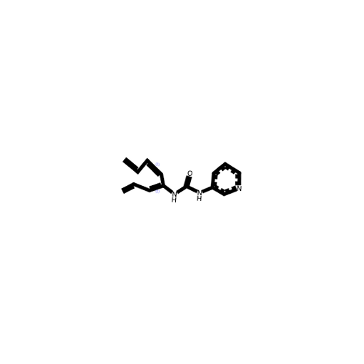 C=C/C=C\C(=C/C=C)NC(=O)Nc1cccnc1